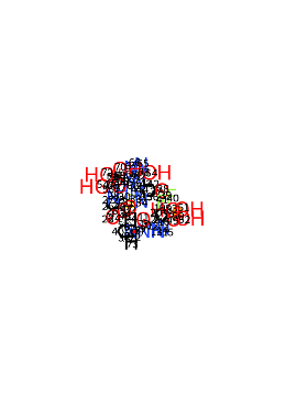 CN1[C@@H]2CCC[C@H]1C[C@@H](NC(=O)c1nn(C)c3ccccc13)C2.COc1ccnc(C[S+]([O-])c2nc3cc(OC(F)F)ccc3[nH]2)c1OC.O=P(O)(O)O.OC[C@H]1O[C@@H](n2cnc3c(O)ncnc32)[C@H](O)[C@@H]1O